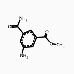 COC(=O)c1cc(N)cc(C(N)=O)c1